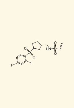 C=CS(=O)(=O)NC[C@H]1CCN(S(=O)(=O)c2ccc(F)cc2F)C1